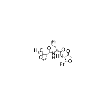 CCC1OCC(=O)C1NC(=O)[C@H](CCC(C)C)NC(=O)c1ccoc1C